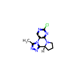 Cc1nnc2n1-c1cnc(Cl)nc1N1CCC[C@H]21